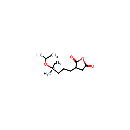 CC(C)O[Si](C)(C)CCCC1CC(=O)OC1=O